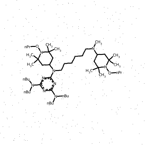 CCCCN(CCCC)c1nc(N(CCCC)CCCC)nc(N(CCCCCCN(C)C2CC(C)(C)N(OCCC)C(C)(C)C2)C2CC(C)(C)N(OCCC)C(C)(C)C2)n1